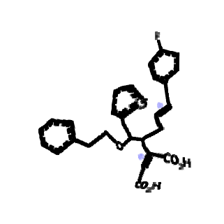 O=C(O)/C=C(\C(=O)O)C(C/C=C/c1ccc(F)cc1)C(OCCc1ccccc1)c1cccs1